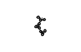 c1ccc(-c2cc(-c3ccc(-n4c5ccccc5c5cc(-c6ccc7c8ccccc8n(-c8ccccc8)c7c6)ccc54)cc3)cc(-c3ccccc3)n2)cc1